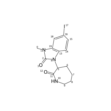 Cn1c(=O)n(C2CCCCNC2=O)c2ccc(I)cc21